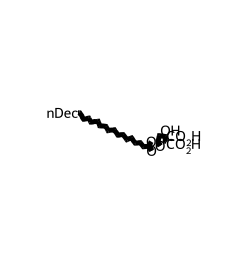 CCCCCCCCCCCCCCCCCCCCCCCCCCC(=O)OC(=O)CC(O)(CC(=O)O)C(=O)O